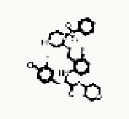 O=C(NC1CCOCC1)[C@H](Cc1ccc(Cl)c(F)c1)Nc1cccc(F)c1CC[C@H]1CNCCN1S(=O)(=O)c1ccccc1